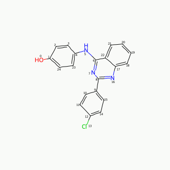 Oc1ccc(Nc2nc(-c3ccc(Cl)cc3)nc3ccccc23)cc1